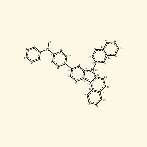 CN(c1ccccc1)c1ccc(-c2ccc3c4c5ccccc5ccc4n(-c4ccc5ccccc5c4)c3c2)cc1